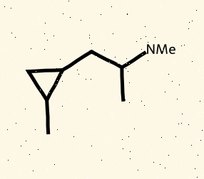 CNC(C)CC1CC1C